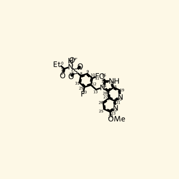 CCC(=O)[NH+]([O-])S(=O)(=O)c1cc(F)c(Cn2c(=O)[nH]c3cnc4nc(OC)ccc4c32)c(F)c1